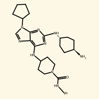 CC(C)NC(=O)N1CCC(Nc2nc(N[C@H]3CC[C@H](N)CC3)nc3c2ncn3C2CCCC2)CC1